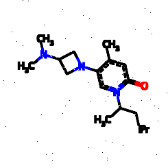 Cc1cc(=O)n(C(C)CC(C)C)cc1N1CC(N(C)C)C1